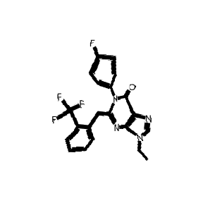 CCn1cnc2c(=O)n(-c3ccc(F)cc3)c(Cc3ccccc3C(F)(F)F)nc21